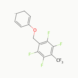 Fc1c(F)c(C(F)(F)F)c(F)c(F)c1COC1=CC[CH]C=C1